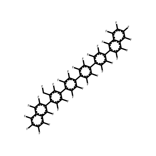 FCc1c(F)c(-c2c(F)c(F)c(-c3c(F)c(F)c(-c4c(F)c(F)c(-c5c(F)c(F)c6c(F)c(F)c(F)c(F)c6c5F)c(F)c4F)c(F)c3F)c(F)c2F)c(F)c(F)c1-c1c(F)c(F)c2c(F)c(F)c(F)c(F)c2c1F